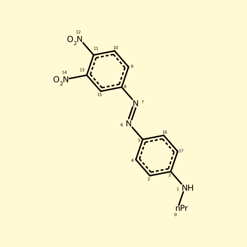 CCCNc1ccc(N=Nc2ccc([N+](=O)[O-])c([N+](=O)[O-])c2)cc1